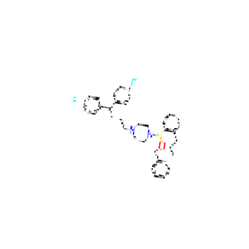 CC(Cc1ccccc1SN1CCN(CCCC(c2ccc(F)cc2)c2ccc(F)cc2)CC1)OCc1ccccc1